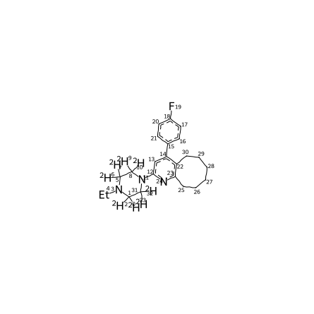 [2H]C1([2H])N(CC)C([2H])([2H])C([2H])([2H])N(c2cc(-c3ccc(F)cc3)c3c(n2)CCCCCC3)C1([2H])[2H]